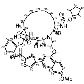 COc1ccc2c(O[C@@H]3C[C@H]4C(=O)N[C@]5(P(=O)(O)Cc6ccccc6)C[C@H]5CCCCCCC[C@H](NC(=O)OC5CCCC5)C(=O)N4C3)cc(-c3csc(NC(C)C)n3)nc2c1